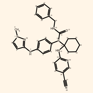 Cn1ccc(Nc2ccc(N(C(=O)NCc3ccccc3)C3(Nc4ccc(C#N)cn4)CCCCC3)cc2)n1